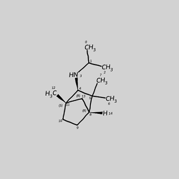 CC(C)N[C@H]1C(C)(C)[C@@H]2CC[C@@]1(C)C2